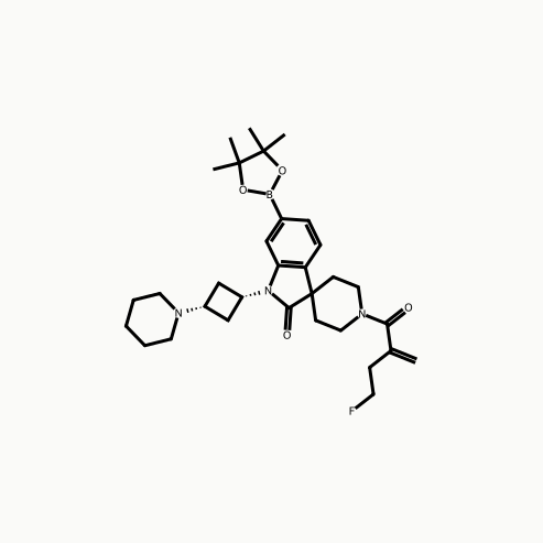 C=C(CCF)C(=O)N1CCC2(CC1)C(=O)N([C@H]1C[C@@H](N3CCCCC3)C1)c1cc(B3OC(C)(C)C(C)(C)O3)ccc12